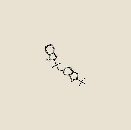 CC(C)(C)c1cc2ccc(CC(C)(C)c3cc4ccccc4[nH]3)cc2o1